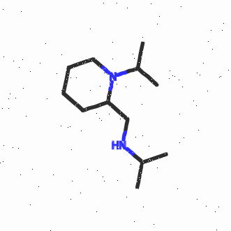 CC(C)NCC1CCCCN1C(C)C